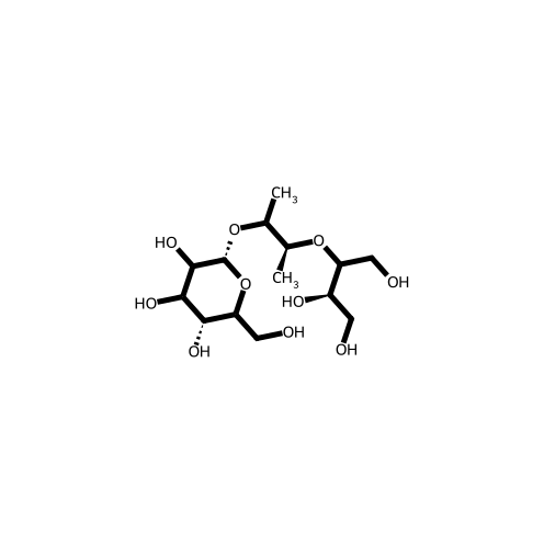 CC(O[C@@H]1OC(CO)[C@H](O)C(O)C1O)[C@H](C)OC(CO)[C@H](O)CO